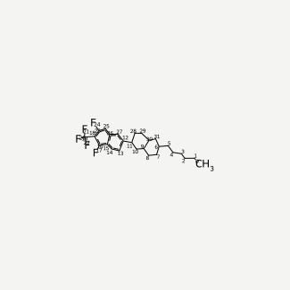 CCCCCCC1CCC2CC(c3ccc4c(F)c(C(F)(F)F)c(F)cc4c3)CCC2C1